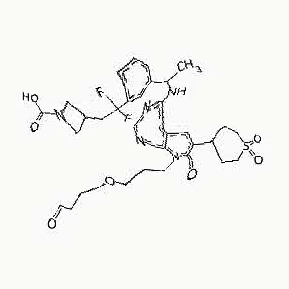 CC(Nc1ncnc2c1cc(C1CCS(=O)(=O)CC1)c(=O)n2CCCOCCCC=O)c1cccc(C(F)(F)CC2CN(C(=O)O)C2)c1